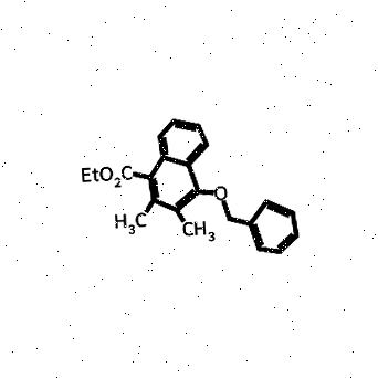 CCOC(=O)c1c(C)c(C)c(OCc2ccccc2)c2ccccc12